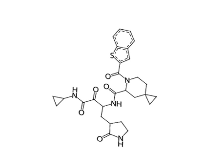 O=C(NC1CC1)C(=O)C(CC1CCNC1=O)NC(=O)C1CC2(CCN1C(=O)c1cc3ccccc3s1)CC2